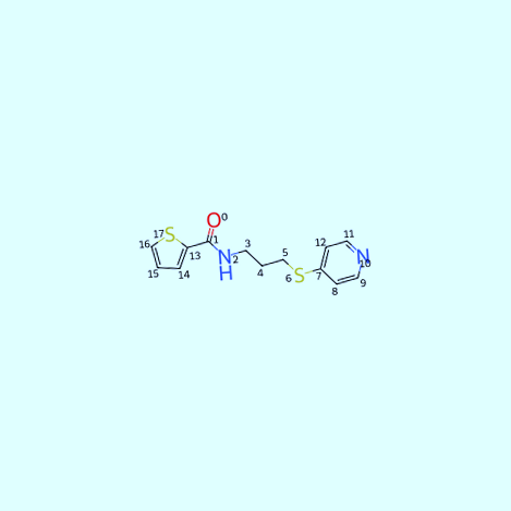 O=C(NCCCSc1ccncc1)c1cccs1